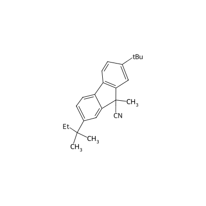 CCC(C)(C)c1ccc2c(c1)C(C)(C#N)c1cc(C(C)(C)C)ccc1-2